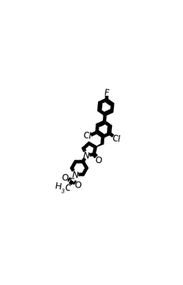 CS(=O)(=O)N1CCC(N2CC[C@@H](Cc3c(Cl)cc(-c4ccc(F)cc4)cc3Cl)C2=O)CC1